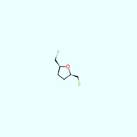 FC[C@@H]1CC[C@H](CF)O1